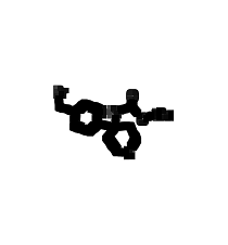 CC(C)(C)OC(=O)NC1(c2ccc(CBr)cc2)C=CN=CC1